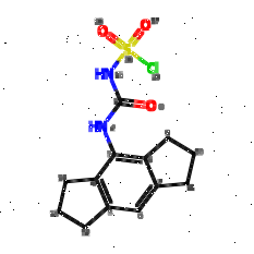 O=C(Nc1c2c(cc3c1CCC3)CCC2)NS(=O)(=O)Cl